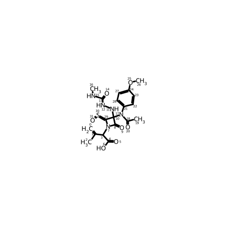 C=C(C)C(C(=O)O)N1C(=O)C(NNC(=O)NC)(N(C(C)=O)c2ccc(OC)cc2)C1=S=O